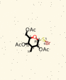 CC(=O)OCC1O[C@H](SBr)C(OC(C)=O)C(C)[C@H]1OC(C)=O